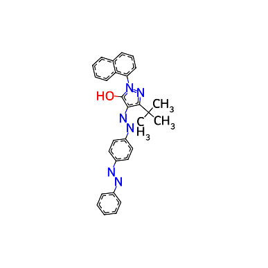 CC(C)(C)c1nn(-c2cccc3ccccc23)c(O)c1/N=N/c1ccc(/N=N/c2ccccc2)cc1